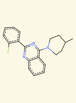 CC1CCN(c2nc(-c3ccccc3F)nc3ccccc23)CC1